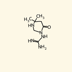 CC1(C)CC(=O)N(NC(=N)N)CN1